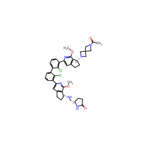 COc1nc(-c2cccc(-c3cccc(-c4cc5c(c(OC)n4)[C@H](NC[C@@H]4CCC(=O)N4)CC5)c3Cl)c2Cl)cc2c1[C@H](N1CC3(CN(C(C)=O)C3)C1)CC2